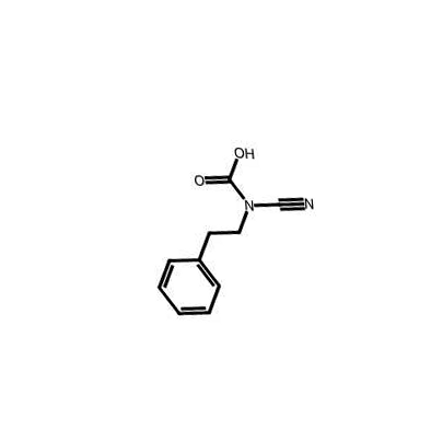 N#CN(CCc1ccccc1)C(=O)O